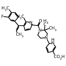 C/C=C(/c1ccc(C)c(F)c1)c1ccc(C(=O)N2CCN(C3C=CC(C(=O)O)=CN3)CC2(C)C)nc1C